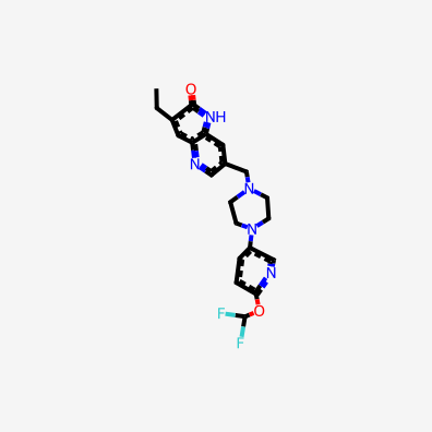 CCc1cc2ncc(CN3CCN(c4ccc(OC(F)F)nc4)CC3)cc2[nH]c1=O